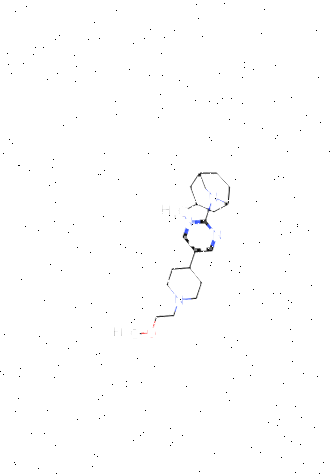 COCCN1CCC(c2cnc(N3CC4CCC3CC(C)C4)nc2)CC1